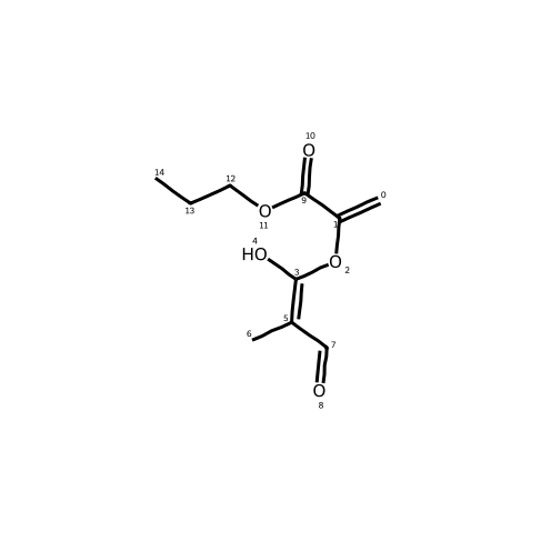 C=C(OC(O)=C(C)C=O)C(=O)OCCC